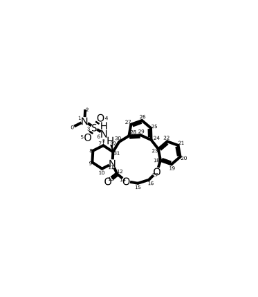 CN(C)S(=O)(=O)N[C@H]1CCCN2C(=O)OCCOc3ccccc3-c3cccc(c3)C[C@@H]12